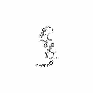 CCCCCOc1ccc(C(=O)Oc2ccc(OC(F)(F)F)nc2)cc1